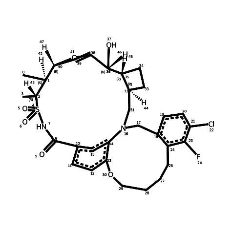 C[C@@H]1[C@@H](C)S(=O)(=O)NC(=O)c2ccc3c(c2)N(Cc2ccc(Cl)c(F)c2CCCCO3)C[C@@H]2CC[C@H]2[C@@H](O)C2=C[C@H]1C2